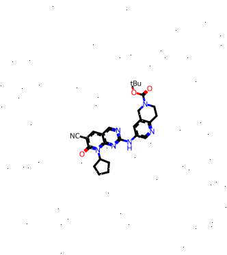 CC(C)(C)OC(=O)N1CCc2ncc(Nc3ncc4cc(C#N)c(=O)n(C5CCCC5)c4n3)cc2C1